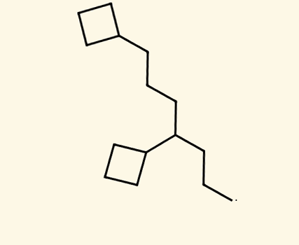 [CH2]CCC(CCCC1CCC1)C1CCC1